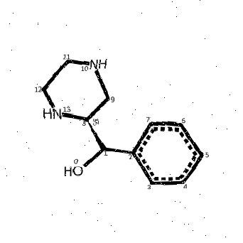 OC(c1ccccc1)[C@@H]1CNCCN1